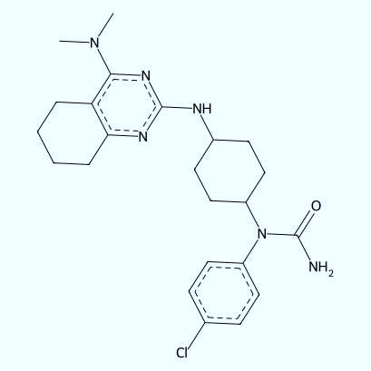 CN(C)c1nc(NC2CCC(N(C(N)=O)c3ccc(Cl)cc3)CC2)nc2c1CCCC2